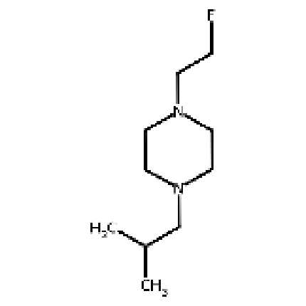 CC(C)CN1CCN(CCF)CC1